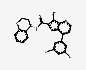 CC(C)c1c(C(=O)N[C@H]2CCOc3ccccc32)sc2c(-c3cc(Cl)cc(Cl)c3)ccnc12